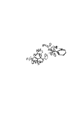 CC(C)OC(=O)[C@@H](C)N[P@@](=O)(OC[C@@H]1CC[C@H](n2cnc3c(N(C)C)nc(N)nc32)O1)Oc1ccccc1